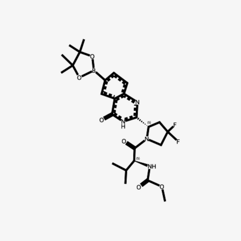 COC(=O)N[C@H](C(=O)N1CC(F)(F)C[C@H]1c1nc2ccc(B3OC(C)(C)C(C)(C)O3)cc2c(=O)[nH]1)C(C)C